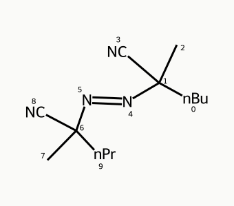 CCCCC(C)(C#N)/N=N/C(C)(C#N)CCC